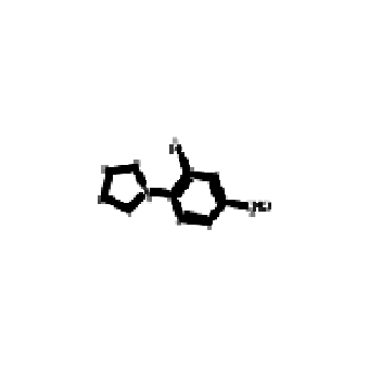 CCc1cc(C=O)ccc1N1CCCC1